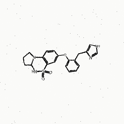 O=S1(=O)NC2CCCN2c2ccc(Oc3ccccc3Cc3c[nH]cn3)cc21